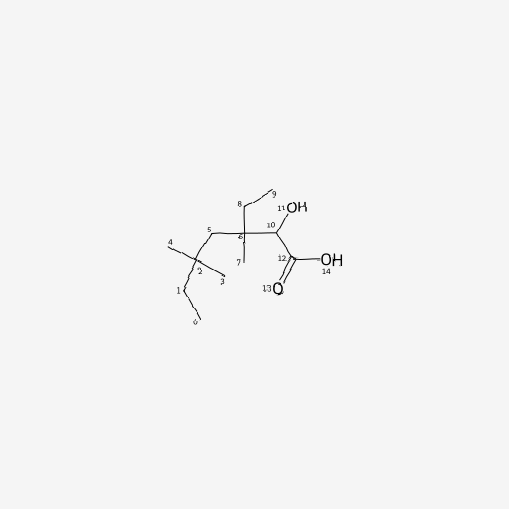 CCC(C)(C)CC(C)(CC)C(O)C(=O)O